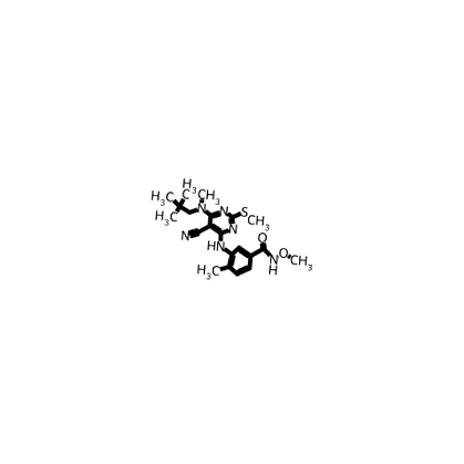 CONC(=O)c1ccc(C)c(Nc2nc(SC)nc(N(C)CC(C)(C)C)c2C#N)c1